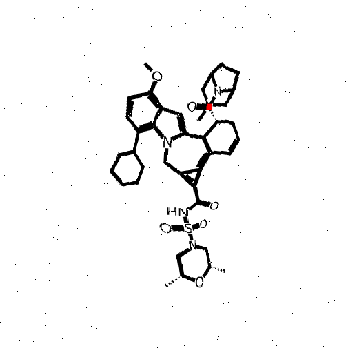 COc1ccc(C2CCCCC2)c2c1cc1n2CC2=C(C(=O)NS(=O)(=O)N3C[C@@H](C)O[C@@H](C)C3)C2=C2C=CC[C@@H](C(=O)N3C4CCC3CN(C)C4)C21